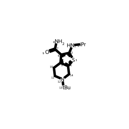 CC(C)Nc1sc2c(c1C(N)=O)CCN(C(C)(C)C)C2